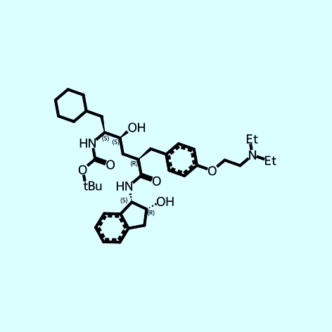 CCN(CC)CCOc1ccc(C[C@H](C[C@H](O)[C@H](CC2CCCCC2)NC(=O)OC(C)(C)C)C(=O)N[C@H]2c3ccccc3C[C@H]2O)cc1